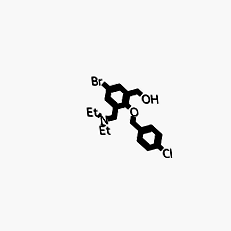 CCN(CC)Cc1cc(Br)cc(CO)c1OCc1ccc(Cl)cc1